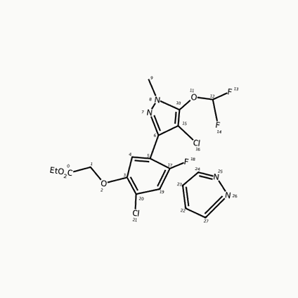 CCOC(=O)COc1cc(-c2nn(C)c(OC(F)F)c2Cl)c(F)cc1Cl.c1ccnnc1